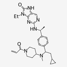 C=CC(=O)N1CCC(N(C)C(CC2CC2)c2ccc([C@H](C)Nc3ncc4[nH]c(=O)n(CC)c4n3)cc2)CC1